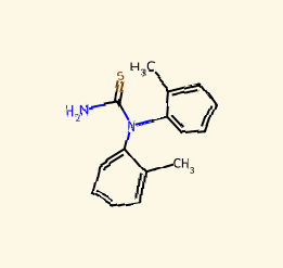 Cc1ccccc1N(C(N)=S)c1ccccc1C